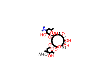 CCC1OC(=O)[C@H](C)[C@@H](O[C@H]2CC(C)(OC)[C@@H](O)C(C)O2)[C@H](C)[C@@H](O[C@@H]2OC(C)CC(N(C)C)C2O)[C@](C)(O)C[C@@H](C)C(=O)[C@H](C)[C@@H](O)[C@]1(C)O